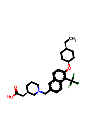 CC[C@H]1CC[C@@H](Oc2ccc3cc(CN4CCC[C@H](CC(=O)O)C4)ccc3c2C(F)(F)F)CC1